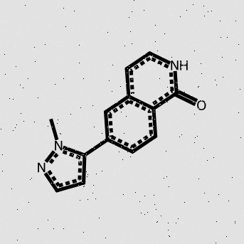 Cn1nccc1-c1ccc2c(=O)[nH]ccc2c1